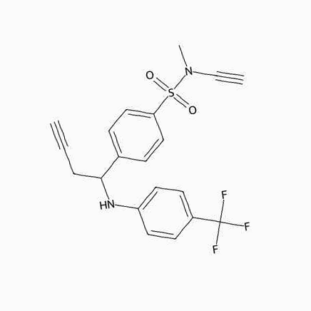 C#CCC(Nc1ccc(C(F)(F)F)cc1)c1ccc(S(=O)(=O)N(C)C#C)cc1